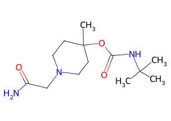 CC(C)(C)NC(=O)OC1(C)CCN(CC(N)=O)CC1